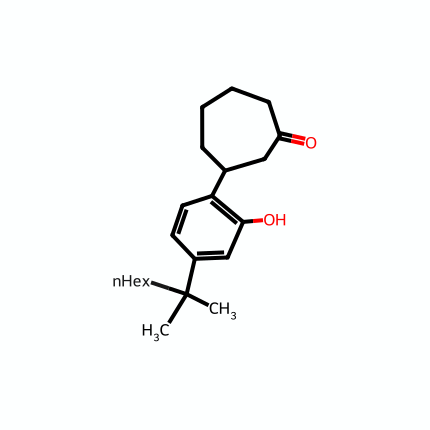 CCCCCCC(C)(C)c1ccc(C2CCCCC(=O)C2)c(O)c1